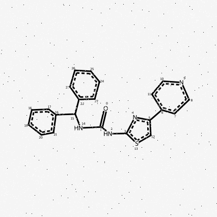 O=C(Nc1nc(-c2ccncc2)cs1)NC(c1ccccc1)c1ccccc1